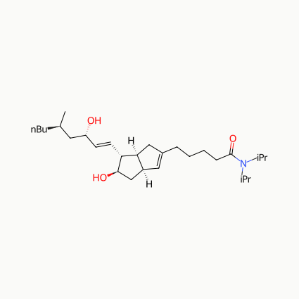 CCCC[C@@H](C)C[C@H](O)/C=C/[C@@H]1[C@H]2CC(CCCCC(=O)N(C(C)C)C(C)C)=C[C@H]2C[C@H]1O